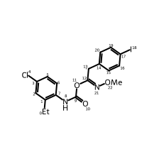 CCc1cc(Cl)ccc1NC(=O)OC([CH]c1ccc(I)cc1)=NOC